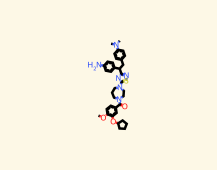 COc1ccc(C(=O)N2CCCN(c3nc(C(Cc4ccc(N(C)C)cc4)c4ccc(N)cc4)ns3)CC2)cc1OC1CCCC1